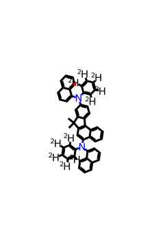 [2H]c1c([2H])c([2H])c(N(c2ccc3c(c2)C(C)(C)c2cc(N(c4c([2H])c([2H])c([2H])c([2H])c4[2H])c4cccc5ccccc45)c4ccccc4c2-3)c2cccc3ccccc23)c([2H])c1[2H]